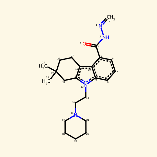 C=NNC(=O)c1cccc2c1c1c(n2CCN2CCCCC2)CC(C)(C)CC1